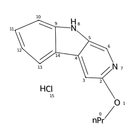 CCCOc1cc2c(cn1)[nH]c1ccccc12.Cl